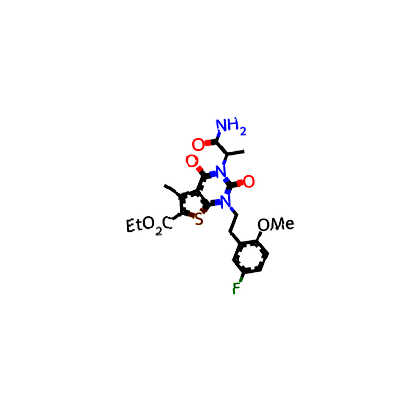 CCOC(=O)c1sc2c(c1C)c(=O)n(C(C)C(N)=O)c(=O)n2CCc1cc(F)ccc1OC